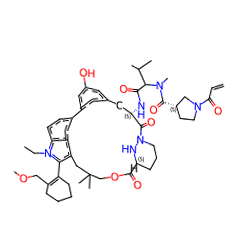 C=CC(=O)N1CC[C@H](C(=O)N(C)C(C(=O)N[C@H]2Cc3cc(O)cc(c3)-c3ccc4c(c3)c(c(C3=C(COC)CCCC3)n4CC)CC(C)(C)COC(=O)[C@@H]3CCCN(N3)C2=O)C(C)C)C1